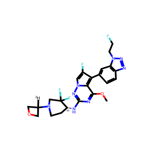 [2H]C1(N2CC[C@@H](Nc3nc(OC)c4c(-c5ccc6nnn(CCF)c6c5)c(F)cn4n3)C(F)(F)C2)COC1